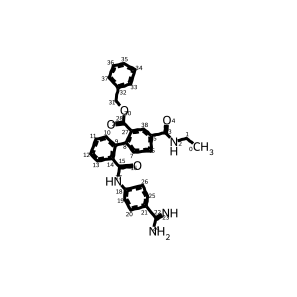 CCNC(=O)c1ccc(-c2ccccc2C(=O)Nc2ccc(C(=N)N)cc2)c(C(=O)OCc2ccccc2)c1